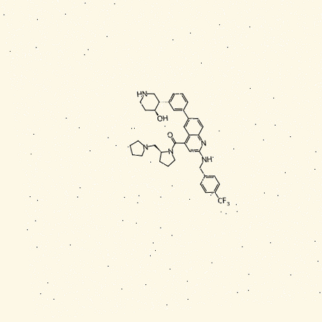 O=C(c1cc(NCc2ccc(C(F)(F)F)cc2)nc2ccc(-c3cccc([C@H]4CNCC[C@@H]4O)c3)cc12)N1CCC[C@H]1CN1CCCC1